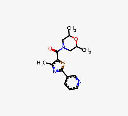 Cc1nc(-c2cccnc2)sc1C(=O)N1CC(C)OC(C)C1